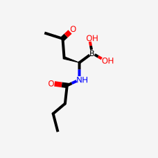 CCCC(=O)N[C@@H](CC(C)=O)B(O)O